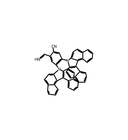 N#Cc1cc(-n2c3ccc4ccccc4c3c3c4ccccc4ccc32)c(-n2c3ccc4ccccc4c3c3c4ccccc4ccc32)cc1C=N